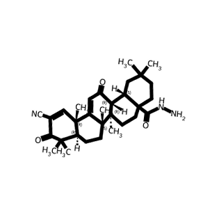 CC1(C)CCC2(C(=O)NN)CC[C@]3(C)[C@H](C(=O)C=C4[C@@]5(C)C=C(C#N)C(=O)C(C)(C)[C@@H]5CC[C@]43C)[C@@H]2C1